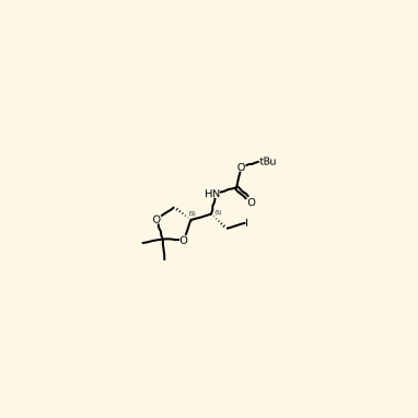 CC(C)(C)OC(=O)N[C@H](CI)[C@H]1COC(C)(C)O1